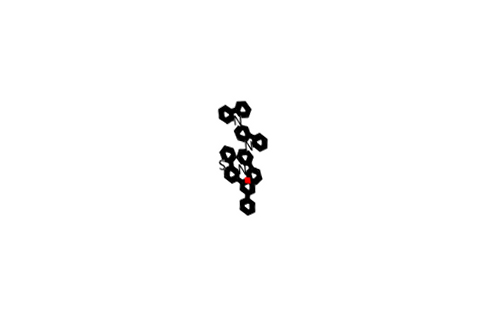 c1ccc(-c2cccc(-c3ccc4sc5ccccc5c4c3-n3c4ccccc4c4cc(-n5c6ccccc6c6cc(-n7c8ccccc8c8ccccc87)ccc65)ccc43)c2)cc1